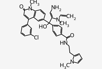 C=CN(C)/C(=C\N)C(O)(c1ccc(C(=O)NCCc2cccn2C)cc1)c1ccc2c(c1)c(-c1cccc(Cl)c1)cc(=O)n2C